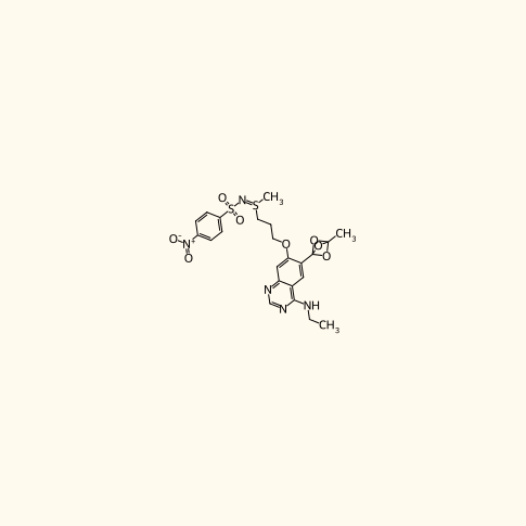 CCNc1ncnc2cc(OCCC/S(C)=N\S(=O)(=O)c3ccc([N+](=O)[O-])cc3)c(C34OC(C)(O3)O4)cc12